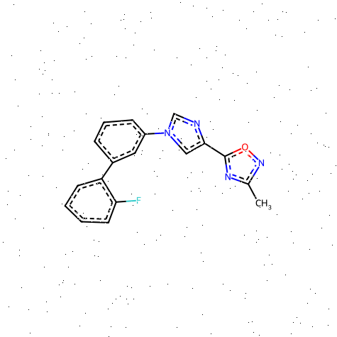 Cc1noc(-c2cn(-c3cccc(-c4ccccc4F)c3)cn2)n1